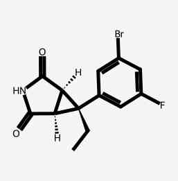 CC[C@]1(c2cc(F)cc(Br)c2)[C@@H]2C(=O)NC(=O)[C@@H]21